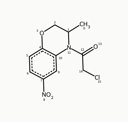 CC1COc2ccc([N+](=O)[O-])cc2N1C(=O)CCl